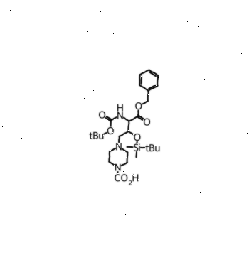 CC(C)(C)OC(=O)NC(C(=O)OCc1ccccc1)C(CN1CCN(C(=O)O)CC1)O[Si](C)(C)C(C)(C)C